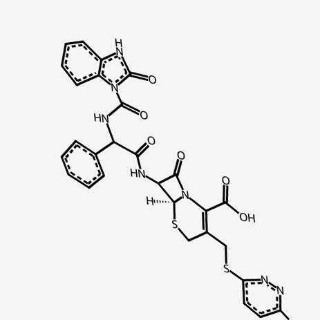 O=C(O)C1=C(CSc2ccc(O)nn2)CS[C@H]2C(NC(=O)C(NC(=O)n3c(=O)[nH]c4ccccc43)c3ccccc3)C(=O)N12